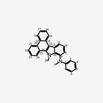 CN(c1ccccc1)c1cccc2c3c4ccccc4c4ccccc4c3n(C)c12